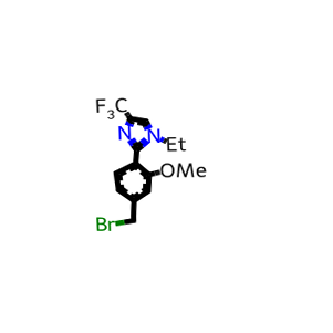 CCn1cc(C(F)(F)F)nc1-c1ccc(CBr)cc1OC